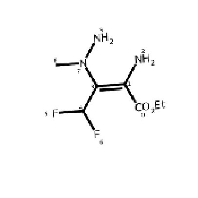 CCOC(=O)/C(N)=C(\C(F)F)N(C)N